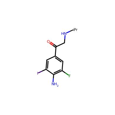 CC(C)NCC(=O)c1cc(F)c(N)c(I)c1